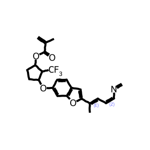 C=N/C=C\C=C(/C)c1cc2ccc(OC3CCC(OC(=O)C(=C)C)C3C(F)(F)F)cc2o1